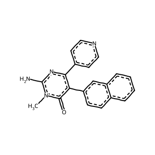 Cn1c(N)nc(-c2ccncc2)c(-c2ccc3ccccc3c2)c1=O